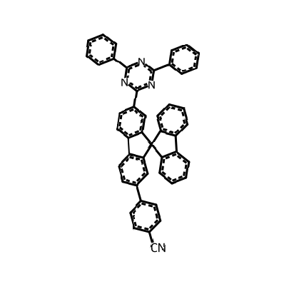 N#Cc1ccc(-c2ccc3c(c2)C2(c4ccccc4-c4ccccc42)c2cc(-c4nc(-c5ccccc5)nc(-c5ccccc5)n4)ccc2-3)cc1